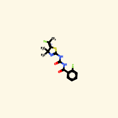 O=C(NC(=O)c1ccccc1F)NC1=NC(C(F)(F)F)(C(F)(F)F)/C(=C(\F)C(F)(F)F)S1